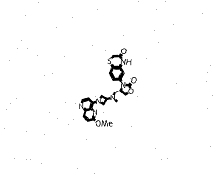 COc1ccc2nccc(N3CC(N(C)C[C@H]4COC(=O)N4c4ccc5c(c4)NC(=O)CS5)C3)c2n1